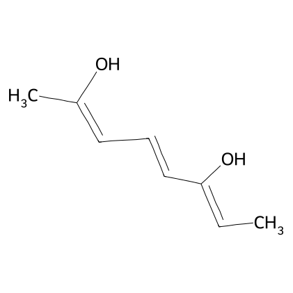 CC=C(O)C=CC=C(C)O